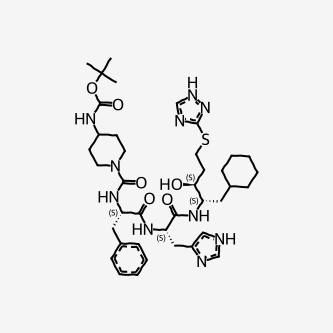 CC(C)(C)OC(=O)NC1CCN(C(=O)N[C@@H](Cc2ccccc2)C(=O)N[C@@H](Cc2c[nH]cn2)C(=O)N[C@@H](CC2CCCCC2)[C@@H](O)CCSc2nc[nH]n2)CC1